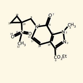 CCOC(=O)c1nn(C)c2c(=O)n(CC3(S(C)(=O)=O)CC3)ccc12